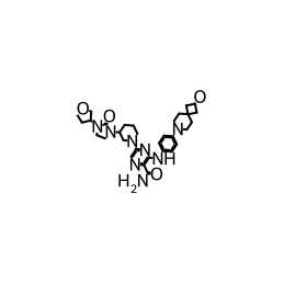 NC(=O)c1ncc(N2CCCC(N3CCN(C4CCOC4)C3=O)C2)nc1Nc1ccc(N2CCC3(CC2)CC(=O)C3)cc1